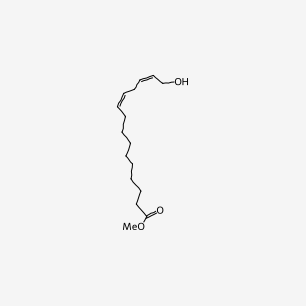 COC(=O)CCCCCCCC/C=C\C/C=C\CO